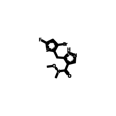 CON(C)C(=O)c1cn[nH]c1Cc1sc(F)cc1Br